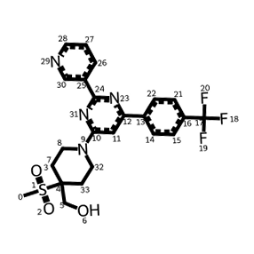 CS(=O)(=O)C1(CO)CCN(c2cc(-c3ccc(C(F)(F)F)cc3)nc(-c3cccnc3)n2)CC1